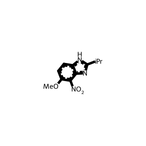 COc1ccc2[nH]c(C(C)C)nc2c1[N+](=O)[O-]